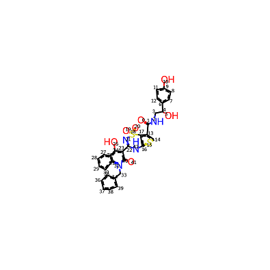 O=C(NCC(O)c1ccc(O)cc1)c1csc2c1S(=O)(=O)N=C(c1c(O)c3ccccc3n(Cc3ccccc3)c1=O)N2